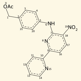 CC(=O)OCc1ccc(Nc2nc(-c3ccccn3)ccc2[N+](=O)[O-])cc1